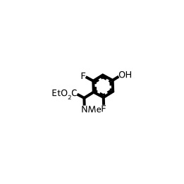 CCOC(=O)C(NC)c1c(F)cc(O)cc1F